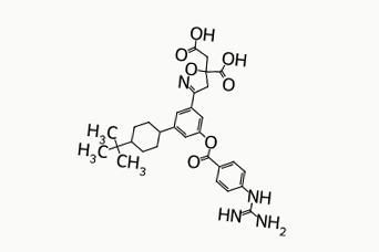 CC(C)(C)C1CCC(c2cc(OC(=O)c3ccc(NC(=N)N)cc3)cc(C3=NOC(CC(=O)O)(C(=O)O)C3)c2)CC1